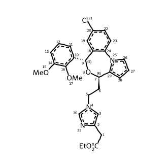 CCOC(=O)Cc1cn(CC[C@H]2O[C@H](c3cccc(OC)c3OC)c3cc(Cl)ccc3-n3cccc32)cn1